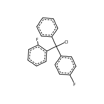 Fc1ccc(C(Cl)(c2ccccc2)c2ccccc2F)cc1